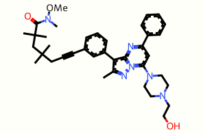 CON(C)C(=O)C(C)(C)CC(C)(C)CC#Cc1cccc(-c2c(C)nn3c(N4CCN(CCO)CC4)cc(-c4ccccc4)nc23)c1